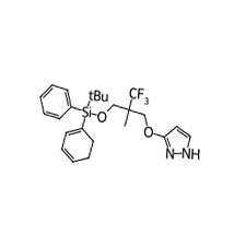 CC(COc1cc[nH]n1)(CO[Si](C1=CC=CCC1)(c1ccccc1)C(C)(C)C)C(F)(F)F